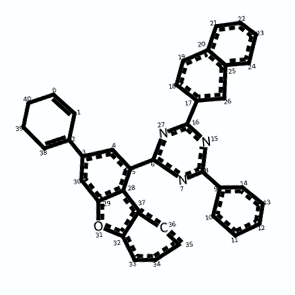 C1=CC(c2cc(-c3nc(-c4ccccc4)nc(-c4ccc5ccccc5c4)n3)c3c(c2)oc2ccccc23)=CCC1